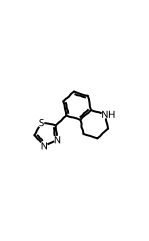 c1cc2c(c(-c3nncs3)c1)CCCN2